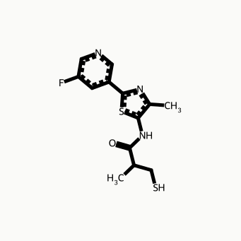 Cc1nc(-c2cncc(F)c2)sc1NC(=O)C(C)CS